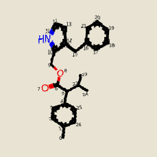 Cc1ccc(C(C(=O)OCc2[nH]ccc2Cc2ccccc2)C(C)C)cc1